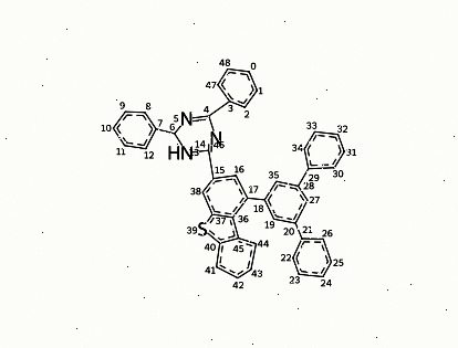 c1ccc(C2=NC(c3ccccc3)NC(c3cc(-c4cc(-c5ccccc5)cc(-c5ccccc5)c4)c4c(c3)sc3ccccc34)=N2)cc1